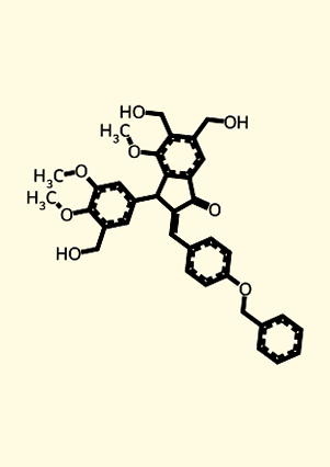 COc1cc(C2/C(=C/c3ccc(OCc4ccccc4)cc3)C(=O)c3cc(CO)c(CO)c(OC)c32)cc(CO)c1OC